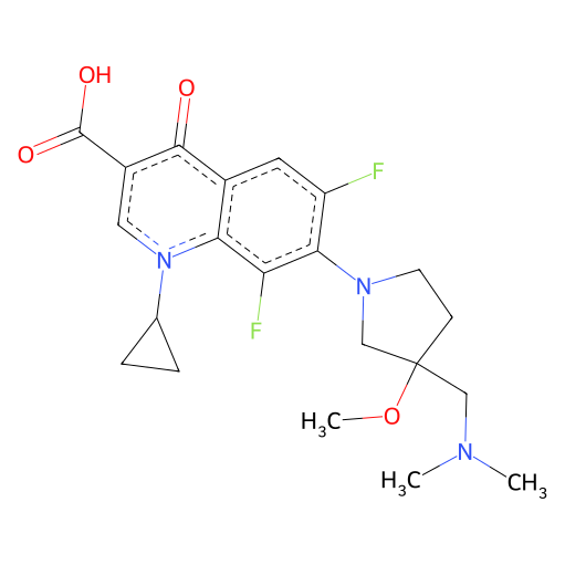 COC1(CN(C)C)CCN(c2c(F)cc3c(=O)c(C(=O)O)cn(C4CC4)c3c2F)C1